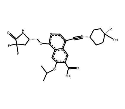 CC(C)Oc1cc2c(OC[C@@H]3CC(F)(F)C(=O)N3)ncc(C#C[C@H]3CC[C@](C)(O)CC3)c2cc1C(N)=O